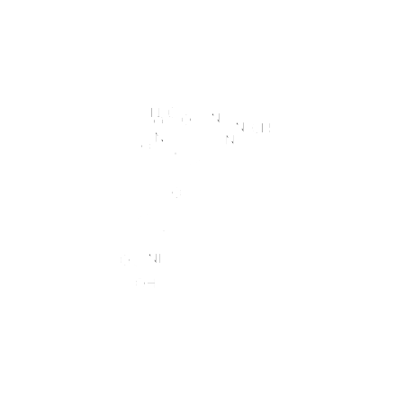 COc1c(-c2ncn(C)n2)cc(COCc2cc(F)cc(NC(=O)O)c2)cc1[N+](=O)[O-]